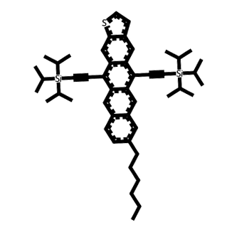 CCCCCCc1ccc2cc3c(C#C[Si](C(C)C)(C(C)C)C(C)C)c4cc5sccc5cc4c(C#C[Si](C(C)C)(C(C)C)C(C)C)c3cc2c1